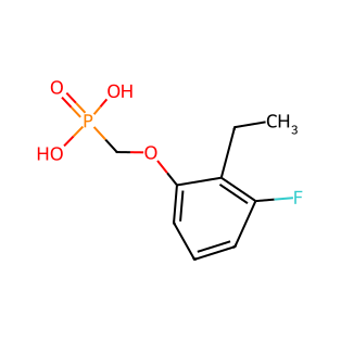 CCc1c(F)cccc1OCP(=O)(O)O